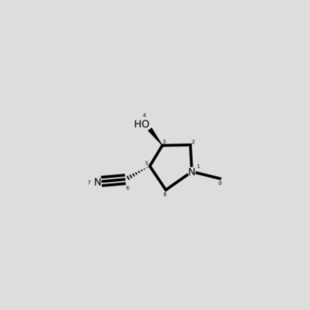 CN1C[C@H](O)[C@@H](C#N)C1